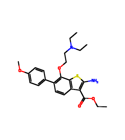 CCOC(=O)c1c(N)sc2c(OCCN(CC)CC)c(-c3ccc(OC)cc3)ccc12